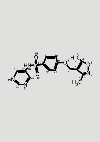 Cc1noc(C)c1COc1ccc(S(=O)(=O)Nc2cncnc2)cc1